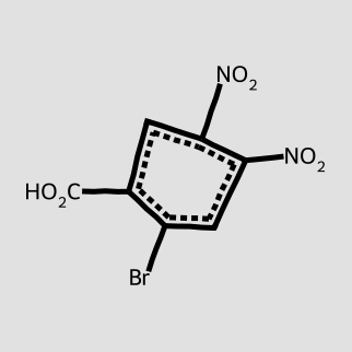 O=C(O)c1cc([N+](=O)[O-])c([N+](=O)[O-])cc1Br